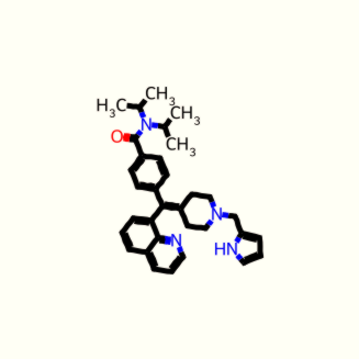 CC(C)N(C(=O)c1ccc(C(=C2CCN(Cc3ccc[nH]3)CC2)c2cccc3cccnc23)cc1)C(C)C